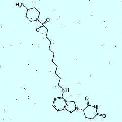 NC1CCN(S(=O)(=O)CCCCCCCCCCNc2cccc3c2CN(C2CCC(=O)NC2=O)C3)CC1